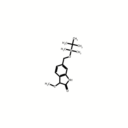 CSC1C(=O)Nc2cc(CO[Si](C)(C)C(C)(C)C)ccc21